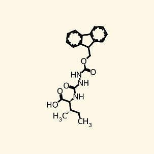 CC[C@H](C)[C@H](NC(=O)NNC(=O)OCC1c2ccccc2-c2ccccc21)C(=O)O